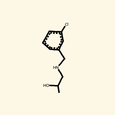 CC(O)CNCc1cc[c]c(Cl)c1